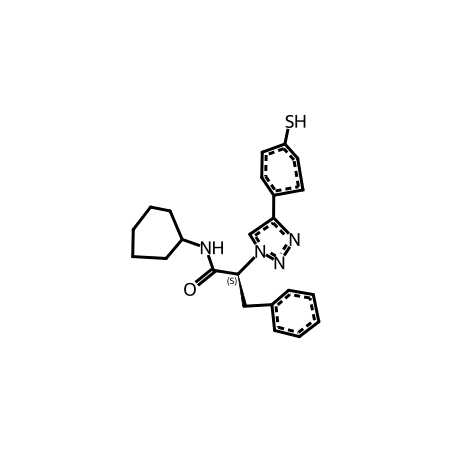 O=C(NC1CCCCC1)[C@H](Cc1ccccc1)n1cc(-c2ccc(S)cc2)nn1